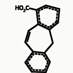 O=C(O)c1cccc2c1C=Cc1ccccc1C2